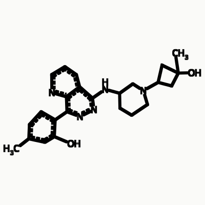 Cc1ccc(-c2nnc(NC3CCCN(C4CC(C)(O)C4)C3)c3cccnc23)c(O)c1